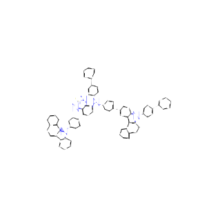 c1ccc(-c2ccc(N(c3ccc(-c4ccc5c(c4)c4c6ccccc6ccc4n5-c4ccc(-c5ccccc5)cc4)cc3)c3ccc(-c4ccc(-n5c6ccccc6c6ccc7ccccc7c65)cc4)c4nsnc34)cc2)cc1